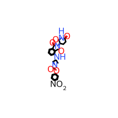 O=C1CCC(N2C(=O)c3cccc(NC4CN(C(=O)Oc5ccc([N+](=O)[O-])cc5)C4)c3C2=O)C(=O)N1